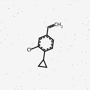 C=Cc1ccc(C2CC2)c(Cl)c1